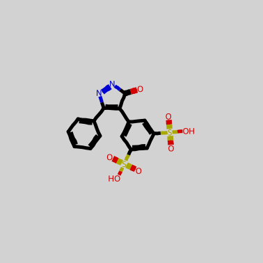 O=C1N=NC(c2ccccc2)=C1c1cc(S(=O)(=O)O)cc(S(=O)(=O)O)c1